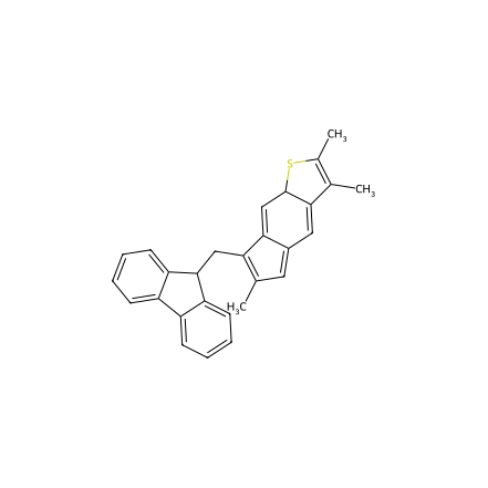 CC1=C(CC2c3ccccc3-c3ccccc32)C2=CC3SC(C)=C(C)C3=CC2=C1